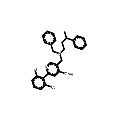 CCc1cccc(CC)c1-c1cc(OC)c(CN(CCC(C)c2ccccc2)Cc2ccccc2)cn1